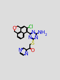 Nc1nc(SCC(=O)c2cnccn2)nc(-c2c(Cl)cc3c4c(cccc24)COC3)n1